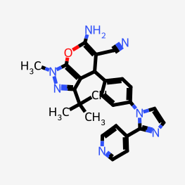 Cn1nc(C(C)(C)C)c2c1OC(N)=C(C#N)C2c1ccc(-n2ccnc2-c2ccncc2)cc1